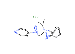 CC(C)n1c(CNc2ccncc2)nc2ccccc21.Cl